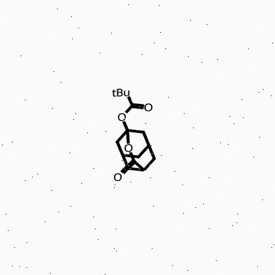 CC(C)(C)C(=O)OC12CC3CC(CC(C3)C(=O)O1)C2